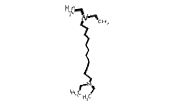 CCN(CC)CCCCCCCCCCN(CC)CC